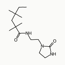 CCC(C)(C)CC(C)(C)C(=O)NCCN1CCNC1=O